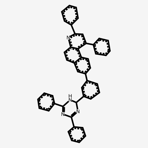 c1ccc(C2=NC(c3cccc(-c4ccc5c(ccc6nc(-c7ccccc7)cc(-c7ccccc7)c65)c4)c3)NC(c3ccccc3)=N2)cc1